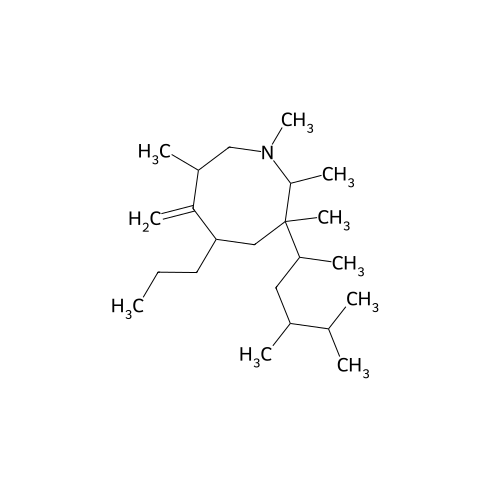 C=C1C(C)CN(C)C(C)C(C)(C(C)CC(C)C(C)C)CC1CCC